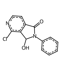 O=C1c2ccnc(Cl)c2C(O)N1c1ccccc1